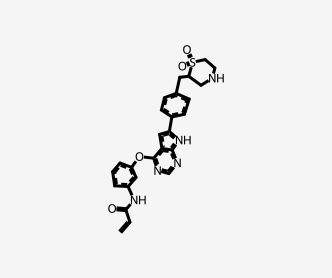 C=CC(=O)Nc1cccc(Oc2ncnc3[nH]c(-c4ccc(CC5CNCCS5(=O)=O)cc4)cc23)c1